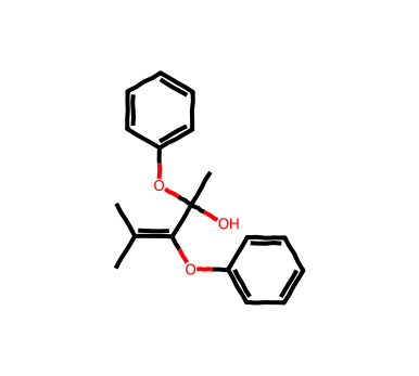 CC(C)=C(Oc1ccccc1)C(C)(O)Oc1ccccc1